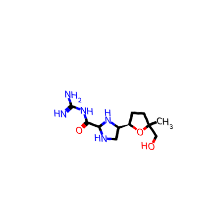 CC1(CO)CC[C@H](C2CNC(C(=O)NC(=N)N)N2)O1